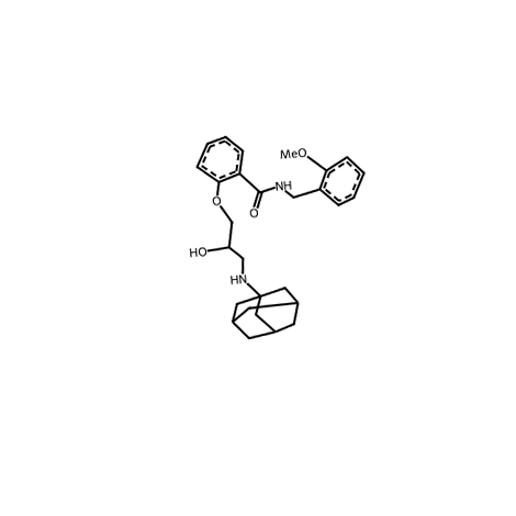 COc1ccccc1CNC(=O)c1ccccc1OCC(O)CNC12CC3CC(CC(C3)C1)C2